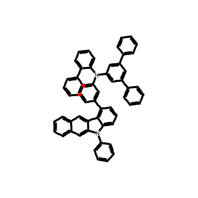 c1ccc(-c2cc(-c3ccccc3)cc(N(c3cccc(-c4cccc5c4c4cc6ccccc6cc4n5-c4ccccc4)c3)c3ccccc3-c3ccccc3)c2)cc1